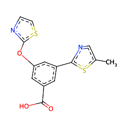 Cc1cnc(-c2cc(Oc3nccs3)cc(C(=O)O)c2)s1